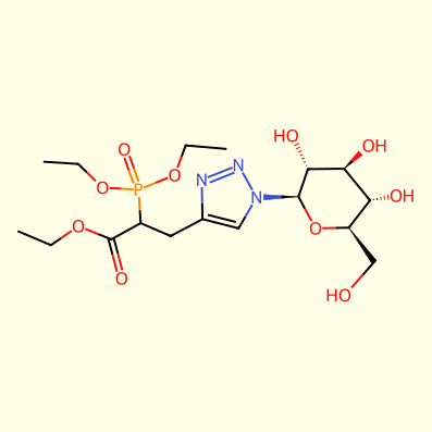 CCOC(=O)C(Cc1cn([C@@H]2O[C@H](CO)[C@@H](O)[C@H](O)[C@H]2O)nn1)P(=O)(OCC)OCC